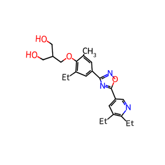 CCc1cc(-c2nc(-c3cc(C)c(OCC(CO)CO)c(CC)c3)no2)cnc1CC